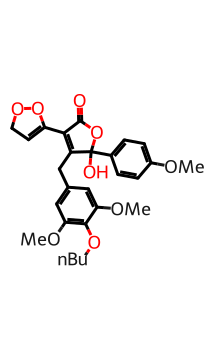 CCCCOc1c(OC)cc(CC2=C(C3=CCOO3)C(=O)OC2(O)c2ccc(OC)cc2)cc1OC